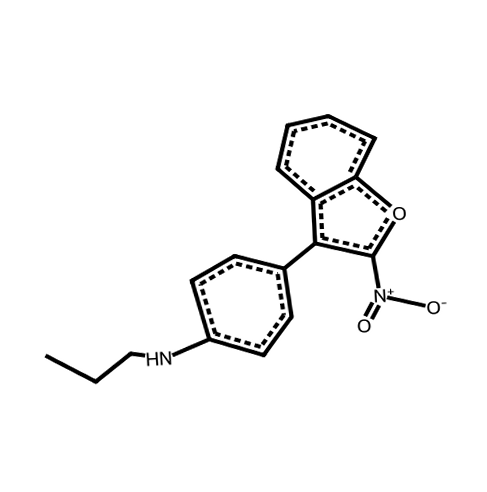 CCCNc1ccc(-c2c([N+](=O)[O-])oc3ccccc23)cc1